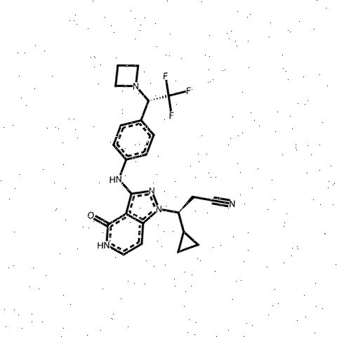 N#CC[C@@H](C1CC1)n1nc(Nc2ccc([C@H](N3CCC3)C(F)(F)F)cc2)c2c(=O)[nH]ccc21